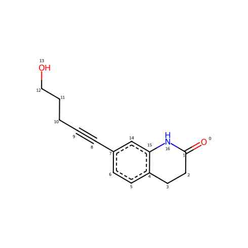 O=C1CCc2ccc(C#CCCCO)cc2N1